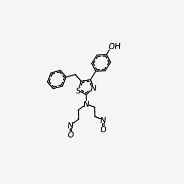 O=NCCN(CCN=O)c1nc(-c2ccc(O)cc2)c(Cc2ccccc2)s1